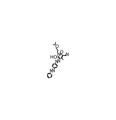 Cc1c(/N=N/c2ccc(/N=N/c3ccccc3)cc2)c(O)n(CCCOC(C)C)c(=O)c1C#N